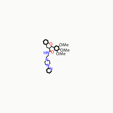 COc1cc(C2Oc3ccccc3CC2C(=O)NCCN2CCN(c3ccccn3)CC2)cc(OC)c1OC